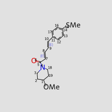 COC1CCN(C(=O)/C=C/C=C/c2ccc(SC)cc2)CC1